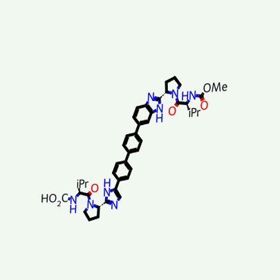 COC(=O)N[C@H](C(=O)N1CCC[C@H]1c1nc2ccc(-c3ccc(-c4ccc(-c5cnc([C@@H]6CCCN6C(=O)[C@@H](NC(=O)O)C(C)C)[nH]5)cc4)cc3)cc2[nH]1)C(C)C